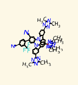 Cc1nc(C)nc(-c2ccc3c(c2)c2cc(-c4nc(C)nc(C)n4)ccc2n3-c2cc(C#N)c(-c3ccc(C#N)cc3C(F)(F)F)cc2-n2c3ccc(-c4nc(C)nc(C)n4)cc3c3cc(-c4nc(C)nc(C)n4)ccc32)n1